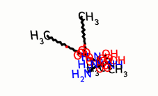 CCCCCCCCCCCCCCCC(=O)OC[C@H](COC(=O)CC[C@H](C(N)=O)N(CC(C)O[C@H]1[C@H](O)[C@@H](CO)O[C@H](O)[C@@H]1NC(C)=O)C(=O)[C@@H](N)CCCCN)OC(=O)CCCCCCCCCCCCCCC